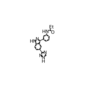 CCC(=O)Nc1cccc(-c2n[nH]c3ccc(-c4nc[nH]n4)cc23)c1